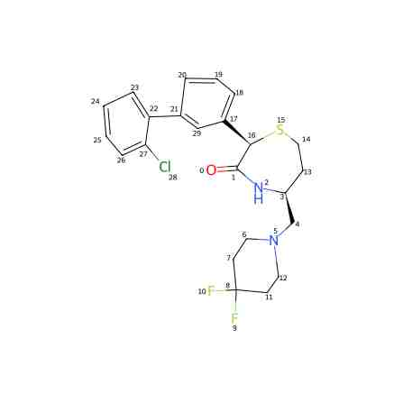 O=C1N[C@H](CN2CCC(F)(F)CC2)CCS[C@@H]1c1cccc(-c2ccccc2Cl)c1